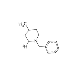 [2H]C1[CH]C(C)CCN1Cc1ccccc1